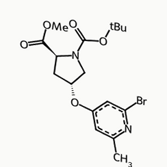 COC(=O)[C@@H]1C[C@@H](Oc2cc(C)nc(Br)c2)CN1C(=O)OC(C)(C)C